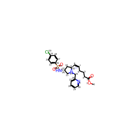 COC(=O)CCC/C=C\[C@@H]1C[C@@H](NS(=O)(=O)c2ccc(Cl)cc2)CN1Cc1ccccn1